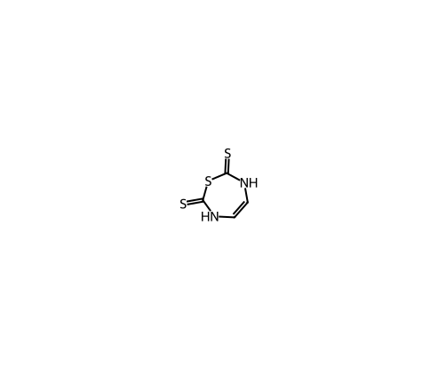 S=C1NC=CNC(=S)S1